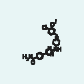 CCOc1cc(CN2CCC(Nc3ncc(-c4ccc(C(N)=O)cc4)cn3)CC2)ccc1Cl